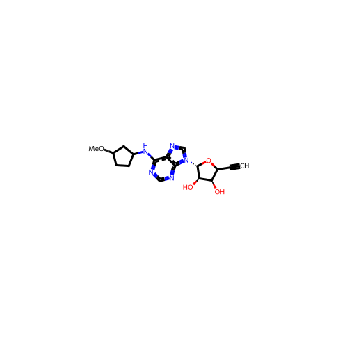 C#CC1O[C@@H](n2cnc3c(NC4CCC(OC)C4)ncnc32)[C@H](O)[C@@H]1O